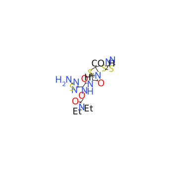 CCN(CC)C(=O)CON=C(C(=O)NC1C(=O)N2CC(CSc3nncs3)(C(=O)O)CS[C@H]12)c1nsc(N)n1